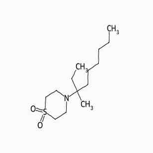 CCCCCCC(C)(CC)N1CCS(=O)(=O)CC1